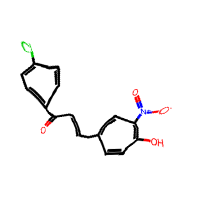 O=C(/C=C/c1ccc(O)c([N+](=O)[O-])c1)c1ccc(Cl)cc1